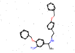 CCCCC(NCCc1ccc(OCc2ccccc2)cc1)c1ccc(OCc2ccccc2)c(N)c1